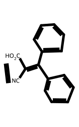 C=C.N#CC(C(=O)O)=C(c1ccccc1)c1ccccc1